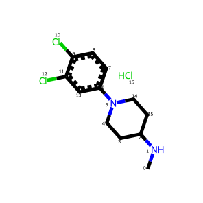 CNC1CCN(c2ccc(Cl)c(Cl)c2)CC1.Cl